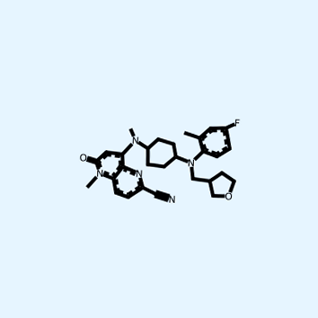 Cc1cc(F)ccc1N(CC1CCOC1)C1CCC(N(C)c2cc(=O)n(C)c3ccc(C#N)nc23)CC1